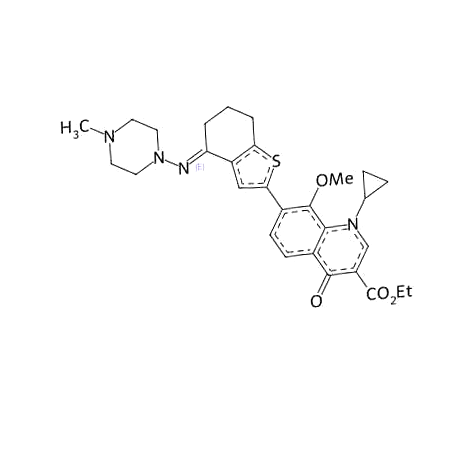 CCOC(=O)c1cn(C2CC2)c2c(OC)c(-c3cc4c(s3)CCC/C4=N\N3CCN(C)CC3)ccc2c1=O